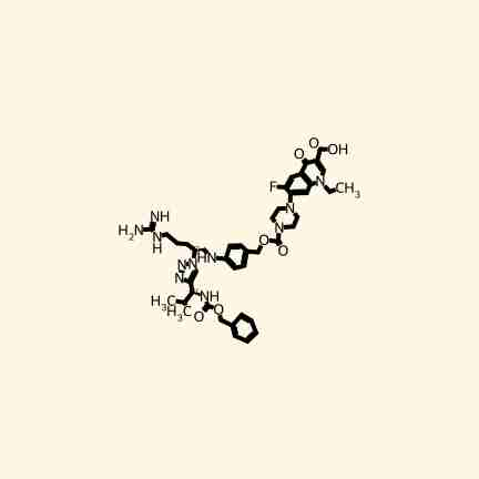 CCn1cc(C(=O)O)c(=O)c2cc(F)c(N3CCN(C(=O)OCc4ccc(NC[C@H](CCCNC(=N)N)n5cc([C@@H](NC(=O)OCc6ccccc6)C(C)C)nn5)cc4)CC3)cc21